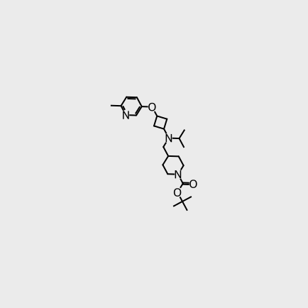 Cc1ccc(OC2CC(N(CC3CCN(C(=O)OC(C)(C)C)CC3)C(C)C)C2)cn1